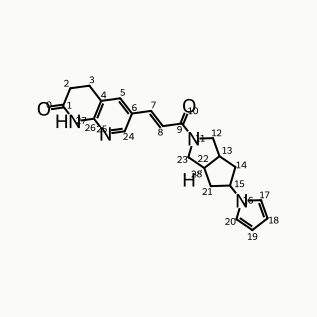 O=C1CCc2cc(/C=C/C(=O)N3CC4CC(n5cccc5)C[C@H]4C3)cnc2N1